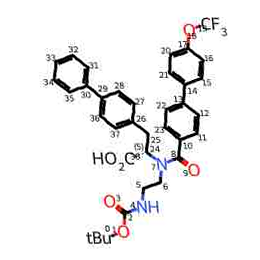 CC(C)(C)OC(=O)NCCN(C(=O)c1ccc(-c2ccc(OC(F)(F)F)cc2)cc1)[C@@H](Cc1ccc(-c2ccccc2)cc1)C(=O)O